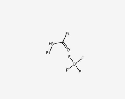 CCNC(=O)CC.F[B-](F)(F)F